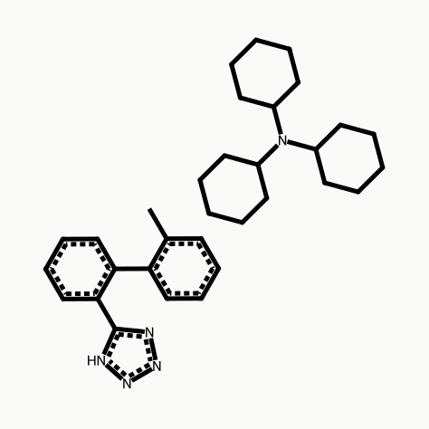 C1CCC(N(C2CCCCC2)C2CCCCC2)CC1.Cc1ccccc1-c1ccccc1-c1nnn[nH]1